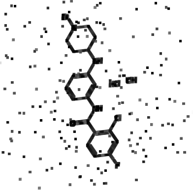 CCN1CCC(Nc2cccc(NC(=O)c3ccc(F)cc3Cl)c2)CC1.Cl.Cl